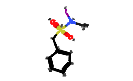 CCCN(I)S(=O)(=O)Cc1ccccc1